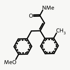 CNC(=O)C=C(Cc1ccc(OC)cc1)c1ccccc1C